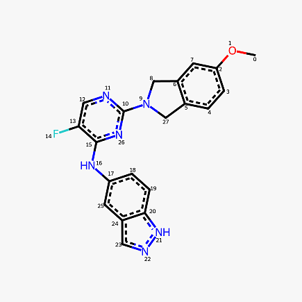 COc1ccc2c(c1)CN(c1ncc(F)c(Nc3ccc4[nH]ncc4c3)n1)C2